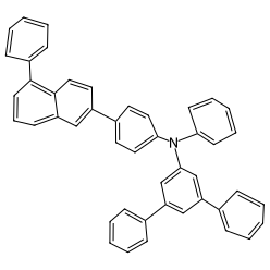 c1ccc(-c2cc(-c3ccccc3)cc(N(c3ccccc3)c3ccc(-c4ccc5c(-c6ccccc6)cccc5c4)cc3)c2)cc1